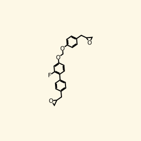 Fc1cc(OCOc2ccc(CC3CO3)cc2)ccc1-c1ccc(CC2CO2)cc1